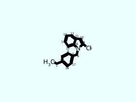 CCc1ccc(Cn2c(Cl)[c]c3ccccc32)cc1